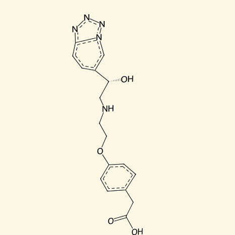 O=C(O)Cc1ccc(OCCNC[C@@H](O)c2ccc3nnnn3c2)cc1